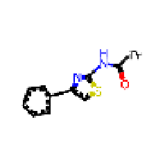 CC(C)C(=O)Nc1nc(-c2ccccc2)cs1